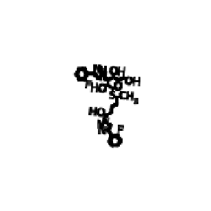 C[C@@H](CCCC(O)n1cc(-c2ccccc2F)nn1)S[C@@H]1OC(CO)[C@H](O)C(n2cc(-c3ccccc3F)nn2)C1O